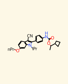 CCCOc1ccc2c(C#N)c(-c3ccc(NC(=O)OC(C)C4CCC4)cc3)n(C(C)C)c2c1